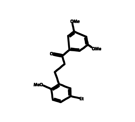 CCc1ccc(OC)c(CCC(=O)c2cc(OC)cc(OC)c2)c1